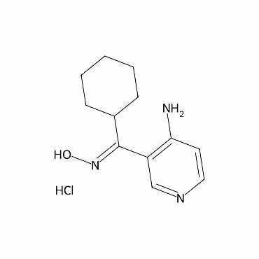 Cl.Nc1ccncc1C(=NO)C1CCCCC1